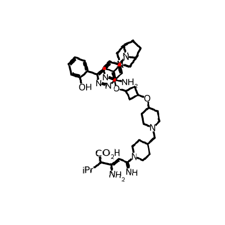 CC(C)C(C(=O)O)/C(N)=C/C(=N)N1CCC(CN2CCC(OC3CC(Oc4cc(N5C6CCC5CN(c5cc(-c7ccccc7O)nnc5N)C6)ccn4)C3)CC2)CC1